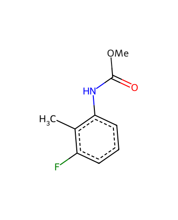 [CH2]OC(=O)Nc1cccc(F)c1C